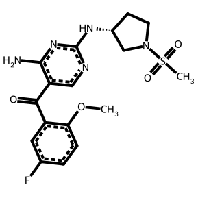 COc1ccc(F)cc1C(=O)c1cnc(N[C@@H]2CCN(S(C)(=O)=O)C2)nc1N